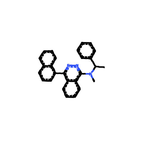 CC(c1ccccc1)N(C)c1nnc(-c2cccc3ccccc23)c2ccccc12